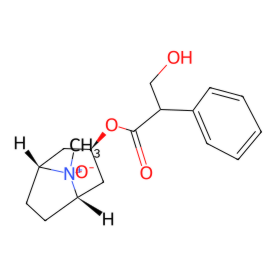 C[N+]1([O-])[C@@H]2CC[C@H]1C[C@H](OC(=O)C(CO)c1ccccc1)C2